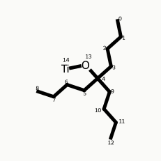 CCCCC(CCCC)(CCCC)[O][Ti]